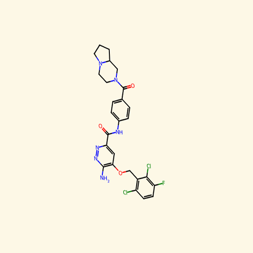 Nc1nnc(C(=O)Nc2ccc(C(=O)N3CCN4CCCC4C3)cc2)cc1OCc1c(Cl)ccc(F)c1Cl